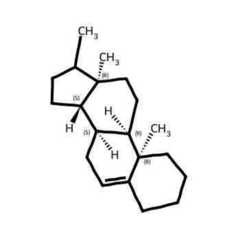 CC1CC[C@H]2[C@@H]3CC=C4CCCC[C@]4(C)[C@@H]3CC[C@]12C